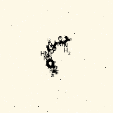 CC(C)C(N)C(=O)NCC(=O)N(C)CC(=O)Nc1nc2ccc(OC(F)(F)F)cc2s1